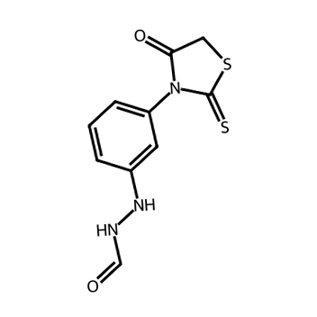 O=CNNc1cccc(N2C(=O)CSC2=S)c1